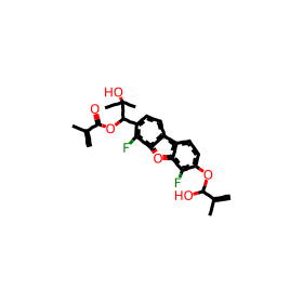 C=C(C)C(=O)OC(c1ccc2c(oc3c(F)c(OC(O)C(=C)C)ccc32)c1F)C(C)(C)O